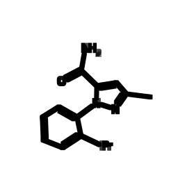 Cc1cc(C(N)=O)n(-c2ccccc2C(C)C)n1